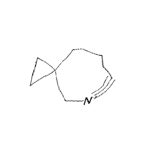 C1#[N+]CC2(CC1)CC2